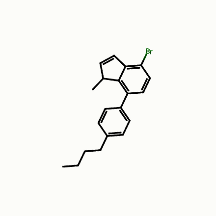 CCCCc1ccc(-c2ccc(Br)c3c2C(C)C=C3)cc1